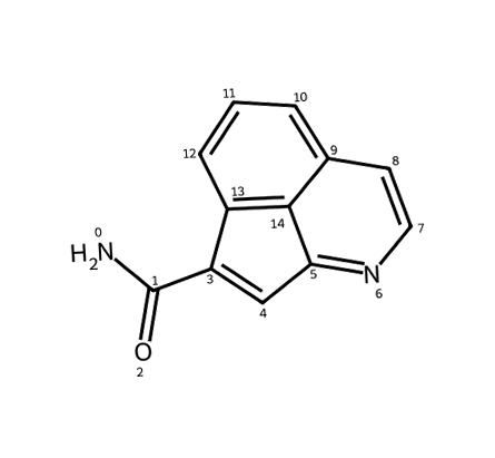 NC(=O)C1=Cc2nccc3cccc1c23